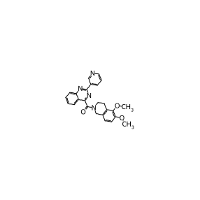 COc1ccc2c(c1OC)CCN(C(=O)c1nc(-c3cccnc3)nc3ccccc13)C2